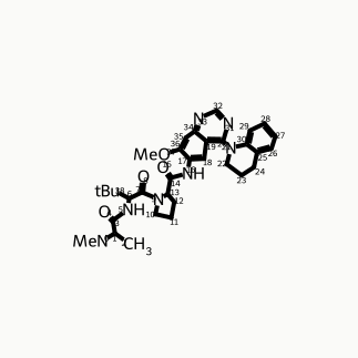 CNC(C)C(=O)NC(C(=O)N1CCCC1C(=O)Nc1cc2c(N3CCCc4ccccc43)ncnc2cc1OC)C(C)(C)C